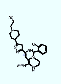 CNC1=C(/C=C(\N)C2=NN=C(C3CCN(CCC#N)CC3)C2)N(Cc2ccccc2Cl)CCN1